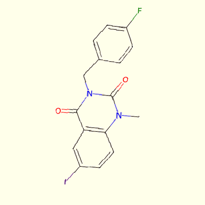 Cn1c(=O)n(Cc2ccc(F)cc2)c(=O)c2cc(I)ccc21